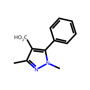 Cc1nn(C)c(-c2ccccc2)c1C(=O)O